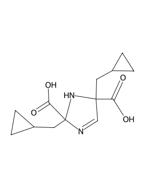 O=C(O)C1(CC2CC2)C=NC(CC2CC2)(C(=O)O)N1